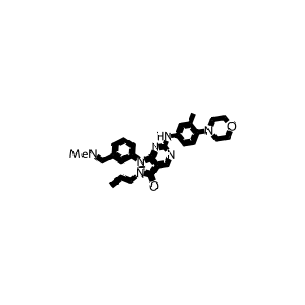 C=CCn1c(=O)c2cnc(Nc3ccc(N4CCOCC4)c(C)c3)nc2n1-c1cccc(CNC)c1